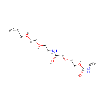 CCCNC(=O)OCCOCC(=O)NCCOCCOCCC(C)C